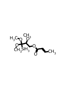 CC=CC(=O)OCC(OC)C([SiH3])(OC)OC